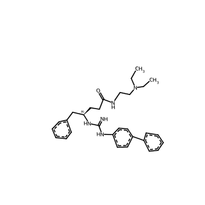 CCN(CC)CCNC(=O)CC[C@H](Cc1ccccc1)NC(=N)Nc1ccc(-c2ccccc2)cc1